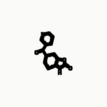 O=C(c1cccnc1)c1ccc2[nH]c(=O)oc2c1